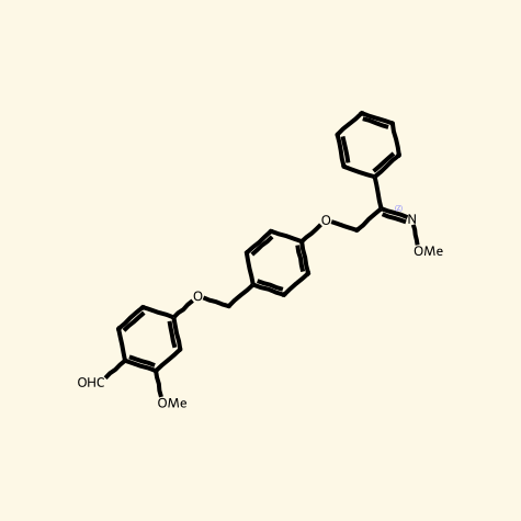 CO/N=C(\COc1ccc(COc2ccc(C=O)c(OC)c2)cc1)c1ccccc1